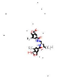 O=C(O)CC[C@H](CNC(=O)c1cc2c(c(C(F)(F)F)c1)COB2O)NC(=O)c1cc2c(c(C(F)(F)F)c1)B(O)OC2